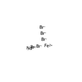 [Br-].[Br-].[Br-].[Br-].[Br-].[Fe+2].[Nd+3]